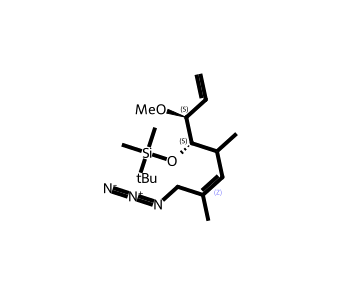 C=C[C@H](OC)[C@@H](O[Si](C)(C)C(C)(C)C)C(C)/C=C(/C)CN=[N+]=[N-]